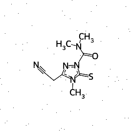 CN(C)C(=O)n1nc(CC#N)n(C)c1=S